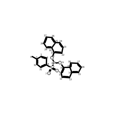 Cc1ccc(S(=O)(=O)P(Oc2cccc3ccccc23)Oc2cccc3ccccc23)cc1